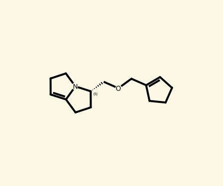 C1=C(COC[C@@H]2CCC3=CCCN32)CCC1